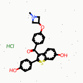 CN1CC(Oc2ccc(C(=O)c3c(-c4ccc(O)cc4)sc4cc(O)ccc34)cc2)C1.Cl